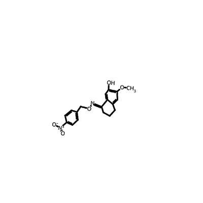 COc1cc2c(cc1O)C(=NOCc1ccc([N+](=O)[O-])cc1)CCC2